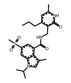 CCCc1cc(C)[nH]c(=O)c1CNC(=O)c1cc(S(C)(=O)=O)cc2c1c(C)cn2C(C)C